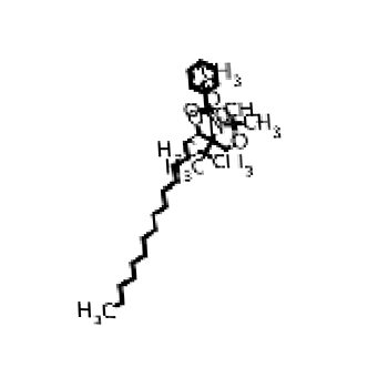 CCCCCCCCCCCCCCC[C@@H](OC(=O)c1ccccc1)C1(C(C)(C)C)COC(C)(C)N1C(=O)OCC